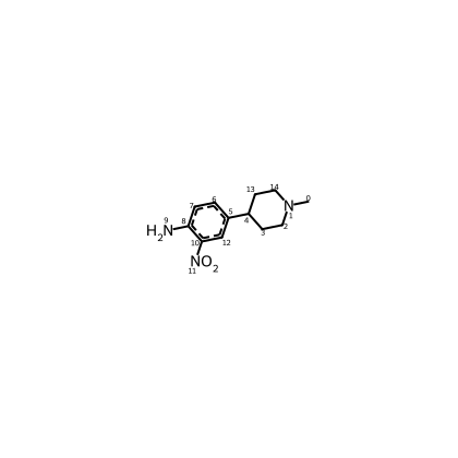 CN1CCC(c2ccc(N)c([N+](=O)[O-])c2)CC1